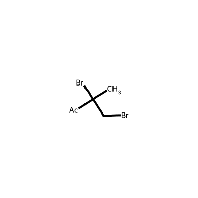 CC(=O)C(C)(Br)CBr